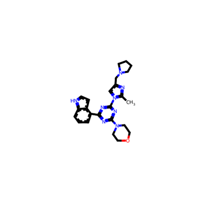 Cc1nc(CN2CCCC2)cn1-c1nc(-c2cccc3[nH]ccc23)nc(N2CCOCC2)n1